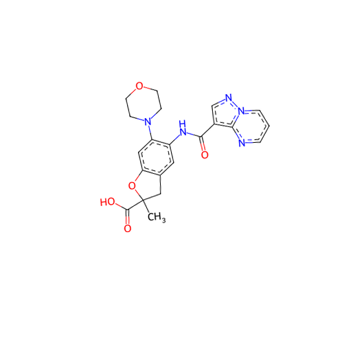 CC1(C(=O)O)Cc2cc(NC(=O)c3cnn4cccnc34)c(N3CCOCC3)cc2O1